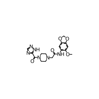 COc1cc2c(cc1NC(=O)CN1CCN(C(=O)c3ncn[nH]3)CC1)OCO2